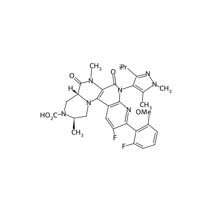 COc1cccc(F)c1-c1nc2c(cc1F)c1c(c(=O)n2-c2c(C(C)C)nn(C)c2C)N(C)C(=O)[C@H]2CN(C(=O)O)[C@H](C)CN12